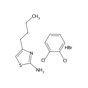 Br.CCCCc1csc(N)n1.Clc1ccccc1Cl